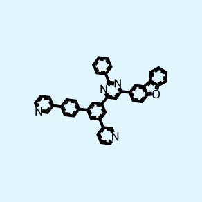 c1ccc(-c2nc(-c3cc(-c4ccc(-c5cccnc5)cc4)cc(-c4cccnc4)c3)cc(-c3ccc4oc5ccccc5c4c3)n2)cc1